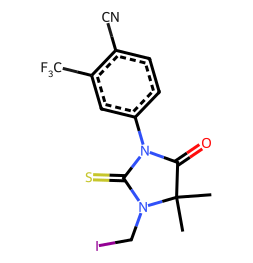 CC1(C)C(=O)N(c2ccc(C#N)c(C(F)(F)F)c2)C(=S)N1CI